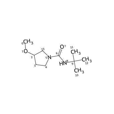 COC1CCN(C(=O)NC(C)(C)C)C1